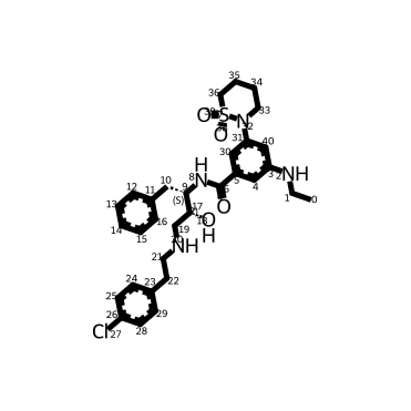 CCNc1cc(C(=O)N[C@@H](Cc2ccccc2)[C@H](O)CNCCc2ccc(Cl)cc2)cc(N2CCCCS2(=O)=O)c1